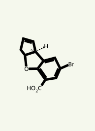 O=C(O)c1cc(Br)cc2c1OC1CC=C[C@@H]21